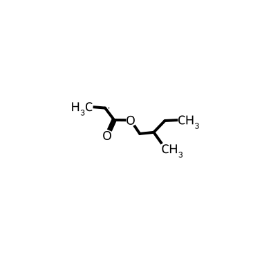 C[CH]C(=O)OCC(C)CC